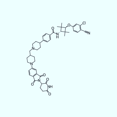 CC1(C)[C@H](NC(=O)c2ccc(C3CCN(CC4CCN(c5ccc6c(c5)C(=O)N(C5CCC(=O)NC5=O)C6=O)CC4)CC3)cc2)C(C)(C)[C@H]1Oc1ccc(C#N)c(Cl)c1